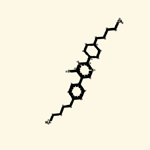 CCCCCc1ccc(-c2cnc(C3CCC(CCCCC)CC3)nc2F)cc1